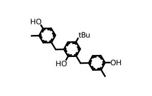 Cc1cc(Cc2cc(C(C)(C)C)cc(Cc3ccc(O)c(C)c3)c2O)ccc1O